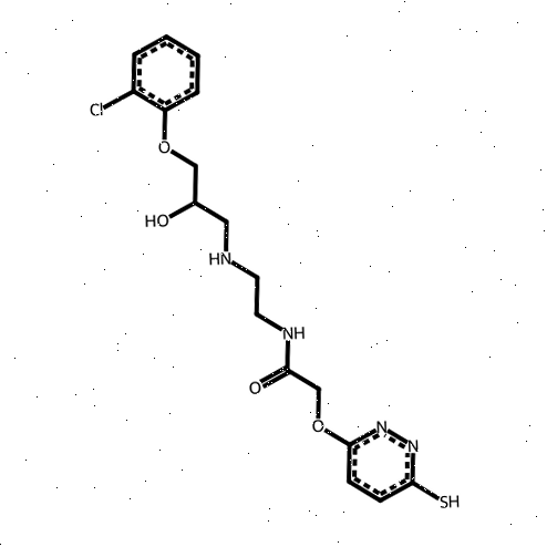 O=C(COc1ccc(S)nn1)NCCNCC(O)COc1ccccc1Cl